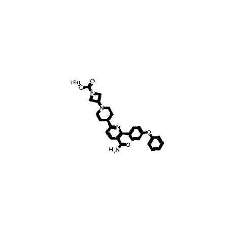 CC(C)(C)OC(=O)N1CC(N2CCC(c3ccc(C(N)=O)c(-c4ccc(Oc5ccccc5)cc4)n3)CC2)C1